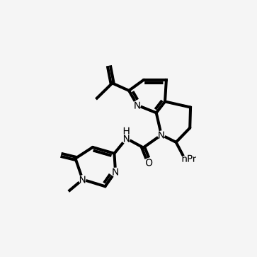 C=C(C)c1ccc2c(n1)N(C(=O)NC1=CC(=C)N(C)C=N1)C(CCC)CC2